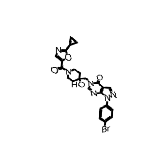 O=C(c1cnc(C2CC2)o1)N1CCC(O)(Cn2cnc3c(cnn3-c3ccc(Br)cc3)c2=O)CC1